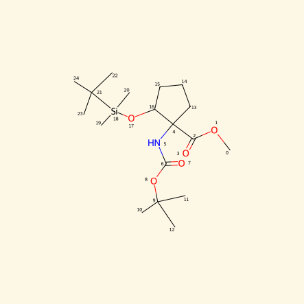 COC(=O)C1(NC(=O)OC(C)(C)C)CCCC1O[Si](C)(C)C(C)(C)C